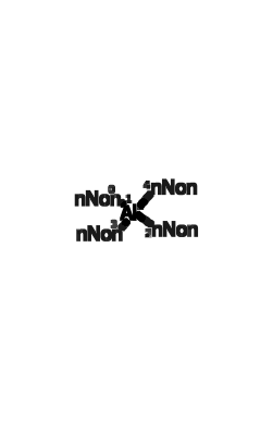 CCCCCCCC[CH2][Al-]([CH2]CCCCCCCC)([CH2]CCCCCCCC)[CH2]CCCCCCCC